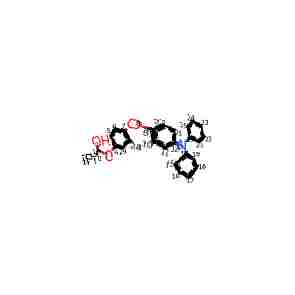 CC(C)C(O)Oc1ccc(Oc2ccc(N(c3ccccc3)c3ccccc3)cc2)cc1